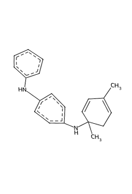 CC1=CCC(C)(Nc2ccc(Nc3ccccc3)cc2)C=C1